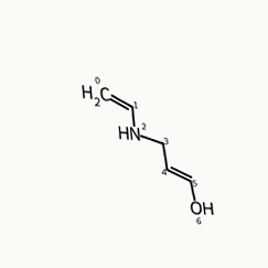 C=CNCC=CO